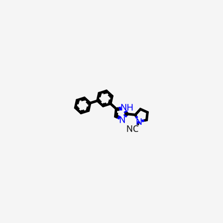 N#CN1CCCC1c1ncc(-c2cccc(-c3ccccc3)c2)[nH]1